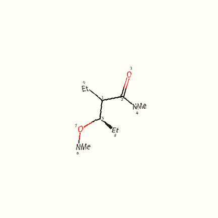 CCC(C(=O)NC)[C@@H](CC)ONC